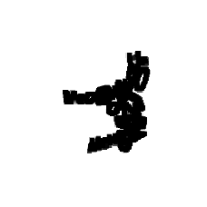 CNC(=O)CC1(c2ccc(N3CCc4c(C(N)=O)nn(-c5ccc(OC)cc5)c4C3=O)cc2)CC1